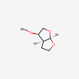 [2H][C@]12OCC[C@@]1([2H])[C@@H](OC(C)(C)C)CO2